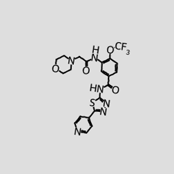 O=C(CN1CCOCC1)Nc1cc(C(=O)Nc2nnc(-c3ccncc3)s2)ccc1OC(F)(F)F